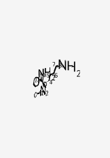 CN(C)[C@@H](CCCCN)C(N)=O